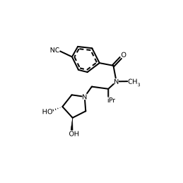 CC(C)C(CN1C[C@@H](O)[C@H](O)C1)N(C)C(=O)c1ccc(C#N)cc1